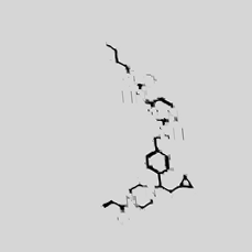 C=CC(=O)N1CCN(C(CC2CC2)c2ccc(CNc3nccc(NC(=O)OCCCC)n3)cc2)CC1